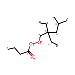 CCCC(=O)OOCC(CC)(CC)CC(C)C